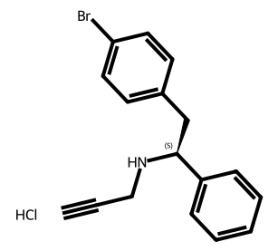 C#CCN[C@@H](Cc1ccc(Br)cc1)c1ccccc1.Cl